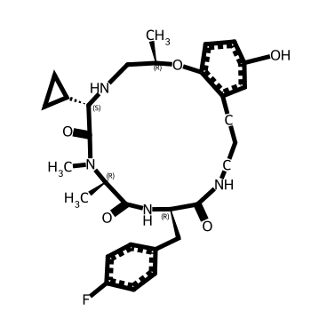 C[C@@H]1CN[C@@H](C2CC2)C(=O)N(C)[C@H](C)C(=O)N[C@H](Cc2ccc(F)cc2)C(=O)NCCCc2cc(O)ccc2O1